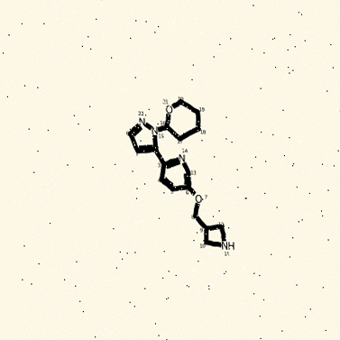 c1cc(-c2ccc(OCC3CNC3)cn2)n(C2CCCCO2)n1